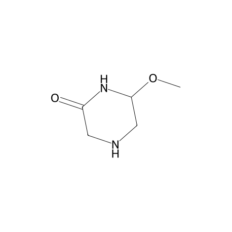 COC1CNCC(=O)N1